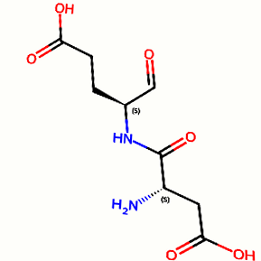 N[C@@H](CC(=O)O)C(=O)N[C@H](C=O)CCC(=O)O